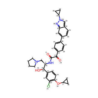 O=C(N[C@H](CN1CCCC1)[C@H](O)c1ccc(OC2CC2)c(Cl)c1)C(=O)c1ccc(-c2ccc3cn(C4CC4)nc3c2)cc1